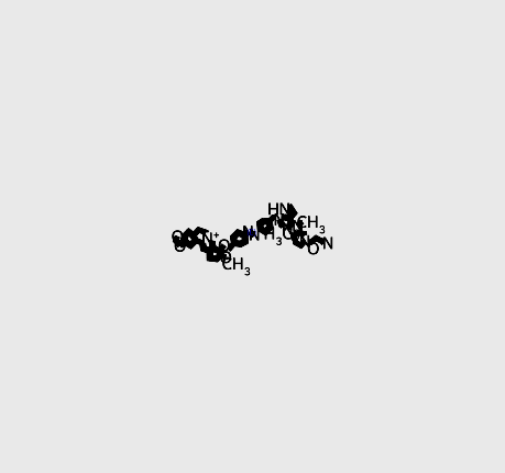 COc1ccc2cc3[n+](cc2c1OCc1ccc(/N=N/c2ccc(C[n+]4cnc(N(C)[C@H]5CN(C(=O)CC#N)CC[C@H]5C)c5cc[nH]c54)cc2)cc1)CCc1cc2c(cc1-3)OCO2